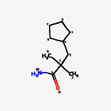 CC(C)(CC1CCCC1)C(N)=O